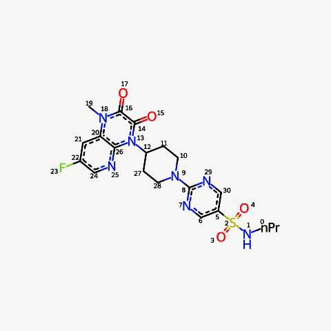 CCCNS(=O)(=O)c1cnc(N2CCC(n3c(=O)c(=O)n(C)c4cc(F)cnc43)CC2)nc1